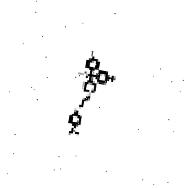 CN(C)c1ccc(OCCCN2CCC(C(O)(c3ccc(F)cc3)c3ccc(F)cc3)CC2)cc1